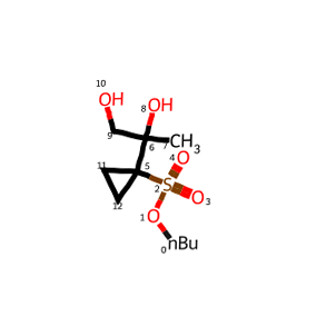 CCCCOS(=O)(=O)C1(C(C)(O)CO)CC1